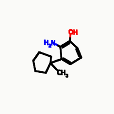 CC1(c2cccc(O)c2N)CCCCC1